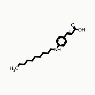 CCCCCCCCCCNc1ccc(/C=C/C(=O)O)cc1